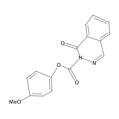 COc1ccc(OC(=O)n2ncc3ccccc3c2=O)cc1